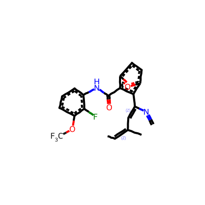 C=N/C(=C\C(C)=C/C)c1c(C(=O)Nc2cccc(OC(F)(F)F)c2F)c2ccc1o2